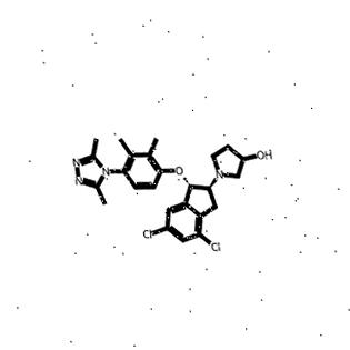 Cc1c(O[C@H]2c3cc(Cl)cc(Cl)c3C[C@@H]2N2CCC(O)C2)ccc(-n2c(C)nnc2C)c1C